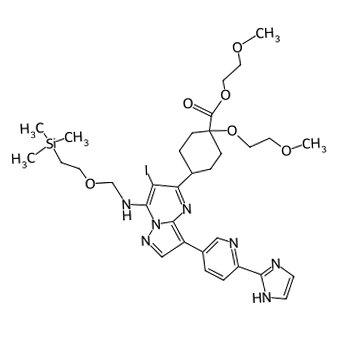 COCCOC(=O)C1(OCCOC)CCC(c2nc3c(-c4ccc(-c5ncc[nH]5)nc4)cnn3c(NCOCC[Si](C)(C)C)c2I)CC1